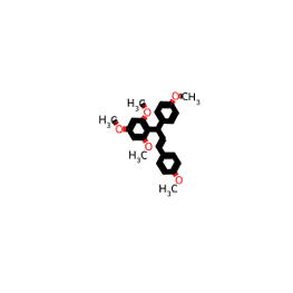 COc1ccc(/C=C/C(c2ccc(OC)cc2)c2c(OC)cc(OC)cc2OC)cc1